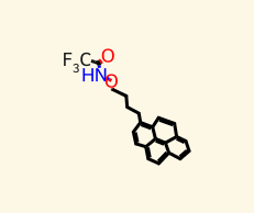 O=C(NOCCCCc1ccc2ccc3cccc4ccc1c2c34)C(F)(F)F